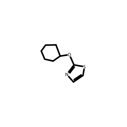 c1csc(OC2CCCCC2)n1